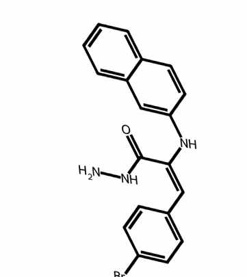 NNC(=O)C(=Cc1ccc(Br)cc1)Nc1ccc2ccccc2c1